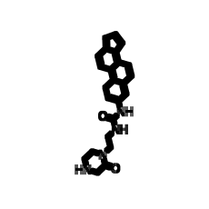 O=C(NCCN1CCNCC1=O)NC1=CCc2c(ccc3c4c(ccc23)=CC=C4)=C1